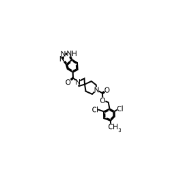 Cc1cc(Cl)c(COC(=O)N2CCC3(CC2)CN(C(=O)c2ccc4[nH]nnc4c2)C3)c(Cl)c1